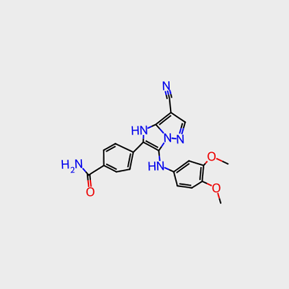 COc1ccc(Nc2c(-c3ccc(C(N)=O)cc3)[nH]c3c(C#N)cnn23)cc1OC